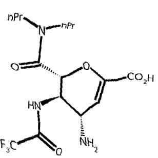 CCCN(CCC)C(=O)[C@@H]1OC(C(=O)O)=C[C@H](N)[C@H]1NC(=O)C(F)(F)F